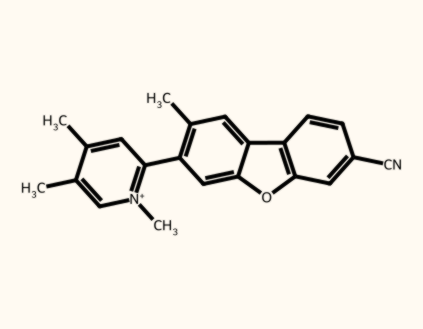 Cc1cc(-c2cc3oc4cc(C#N)ccc4c3cc2C)[n+](C)cc1C